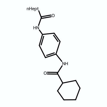 CCCCCCCC(=O)Nc1ccc(NC(=O)C2CCCCC2)cc1